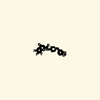 O=C(NC1CCN(Cc2ccc3c(c2)OCO3)CC1)c1cc(=O)c2cc(F)c(F)c(F)c2o1